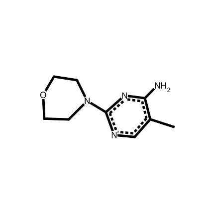 Cc1cnc(N2CCOCC2)nc1N